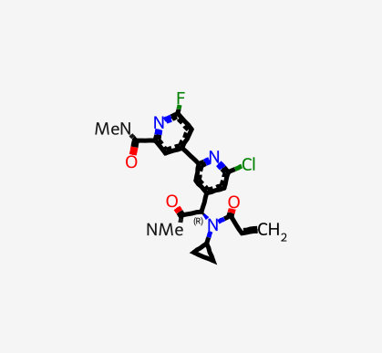 C=CC(=O)N(C1CC1)[C@@H](C(=O)NC)c1cc(Cl)nc(-c2cc(F)nc(C(=O)NC)c2)c1